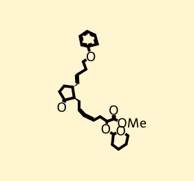 COC(=O)C(CC=C=CC[C@H]1C(=O)CC[C@@H]1/C=C/CCOc1ccccc1)OC1CCCCO1